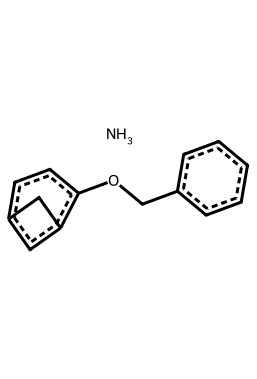 N.c1ccc(COc2ccc3cc2C3)cc1